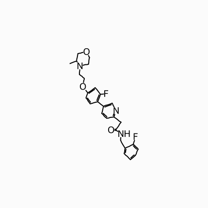 CC1COCCN1CCOc1ccc(-c2ccc(CC(=O)NCc3ccccc3F)nc2)c(F)c1